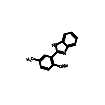 COc1ccc(C)cc1-c1nc2ccccc2[nH]1